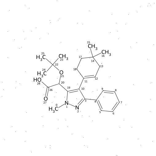 Cn1nc(-c2ccccc2)c(C2=CCC(C)(C)CC2)c1C(OC(C)(C)C)C(=O)O